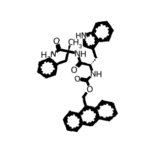 C[C@](Cc1ccccc1)(NC(=O)[C@H](Cc1c[nH]c2ccccc12)NC(=O)OCc1c2ccccc2cc2ccccc12)C(N)=O